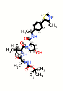 Cc1ncsc1-c1ccc([C@H](C)NC(=O)[C@@H]2C[C@@H](O)CN2C(=O)[C@@H](NC(=O)[C@@H](C)NC(=O)OC(C)(C)C)C(C)(C)C)cc1